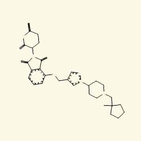 C=C1CCC(N2C(=O)c3cccc(NCc4cnn(C5CCN(CC6(C)CCCC6)CC5)c4)c3C2=O)C(=O)N1